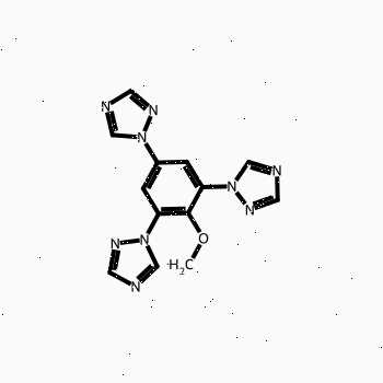 [CH2]Oc1c(-n2cncn2)cc(-n2cncn2)cc1-n1cncn1